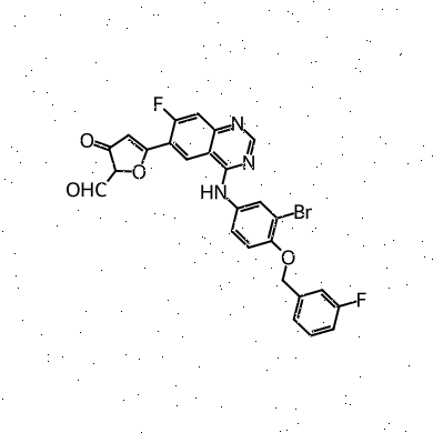 O=CC1OC(c2cc3c(Nc4ccc(OCc5cccc(F)c5)c(Br)c4)ncnc3cc2F)=CC1=O